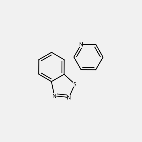 c1ccc2snnc2c1.c1ccncc1